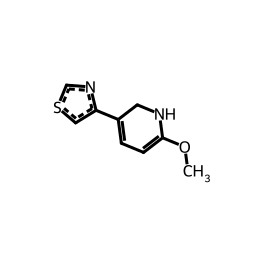 COC1=CC=C(c2cscn2)CN1